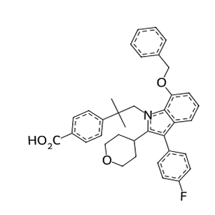 CC(C)(Cn1c(C2CCOCC2)c(-c2ccc(F)cc2)c2cccc(OCc3ccccc3)c21)c1ccc(C(=O)O)cc1